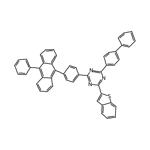 c1ccc(-c2ccc(-c3nc(-c4ccc(-c5c6ccccc6c(-c6ccccc6)c6ccccc56)cc4)nc(-c4cc5ccccc5s4)n3)cc2)cc1